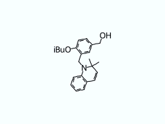 CC(C)COc1ccc(CO)cc1CN1c2ccccc2C=CC1(C)C